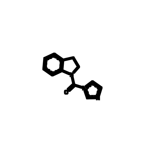 O=C(N1CCc2ccccc21)n1ccnc1